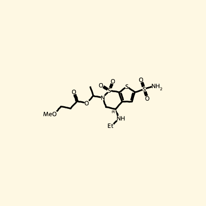 CCN[C@H]1CN(C(C)OC(=O)CCOC)S(=O)(=O)c2sc(S(N)(=O)=O)cc21